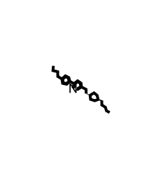 CCCCC[C@H]1CC[C@H](CCc2ccc(-c3ccc(CCCC)cc3)nc2)CC1